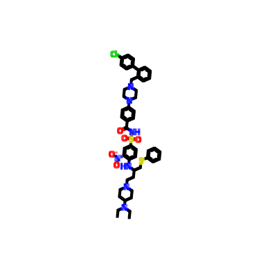 CCN(CC)C1CCN(CCC(CSc2ccccc2)Nc2ccc(S(=O)(=O)NC(=O)c3ccc(N4CCN(Cc5ccccc5-c5ccc(Cl)cc5)CC4)cc3)cc2[N+](=O)[O-])CC1